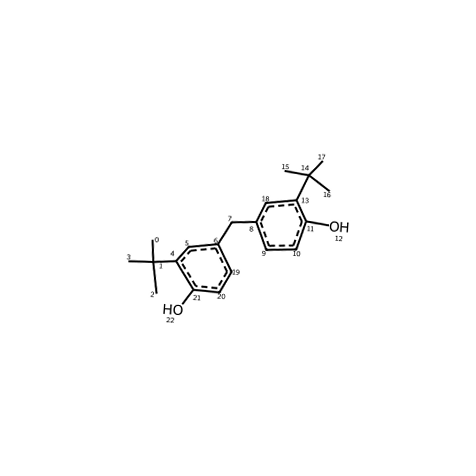 CC(C)(C)c1cc(Cc2ccc(O)c(C(C)(C)C)c2)ccc1O